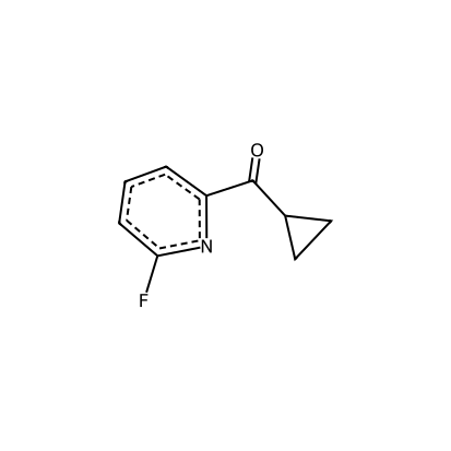 O=C(c1cccc(F)n1)C1CC1